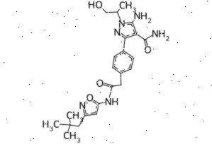 CC(CO)n1nc(-c2ccc(CC(=O)Nc3cc(CC(C)(C)C)no3)cc2)c(C(N)=O)c1N